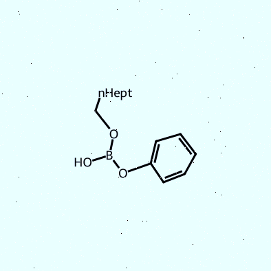 CCCCCCCCOB(O)Oc1ccccc1